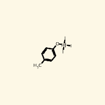 Cc1ccc([O][Hf]([I])([I])[I])cc1